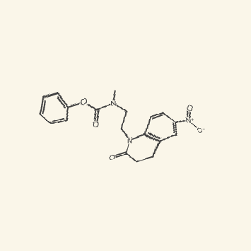 CN(CCN1C(=O)CCc2cc([N+](=O)[O-])ccc21)C(=O)Oc1ccccc1